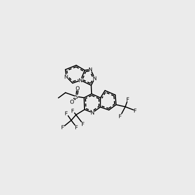 CCS(=O)(=O)c1c(C(F)(F)C(F)(F)F)nc2cc(C(F)(F)F)ccc2c1-c1nnc2ccncn12